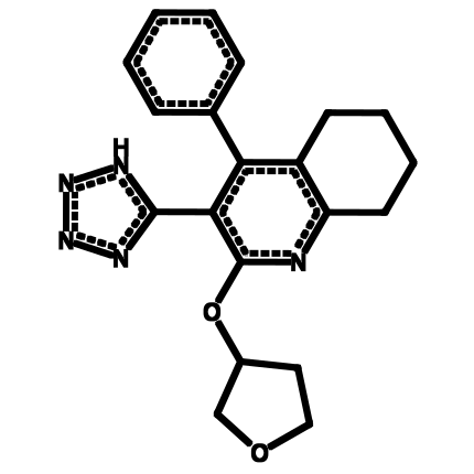 c1ccc(-c2c3c(nc(OC4CCOC4)c2-c2nnn[nH]2)CCCC3)cc1